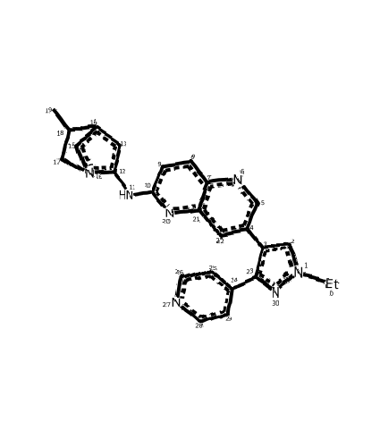 CCn1cc(-c2cnc3ccc(Nc4cc5cn4CC5C)nc3c2)c(-c2ccncc2)n1